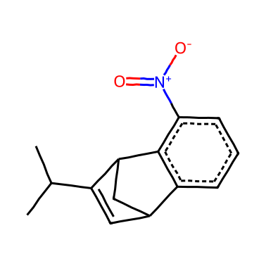 CC(C)C1=CC2CC1c1c2cccc1[N+](=O)[O-]